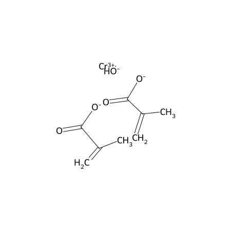 C=C(C)C(=O)[O-].C=C(C)C(=O)[O-].[Cr+3].[OH-]